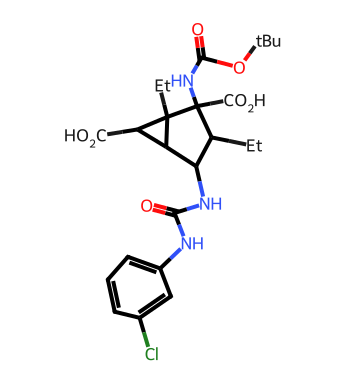 CCC1C(NC(=O)Nc2cccc(Cl)c2)C2C(C(=O)O)C2(CC)C1(NC(=O)OC(C)(C)C)C(=O)O